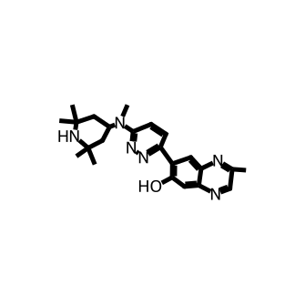 Cc1cnc2cc(O)c(-c3ccc(N(C)C4CC(C)(C)NC(C)(C)C4)nn3)cc2n1